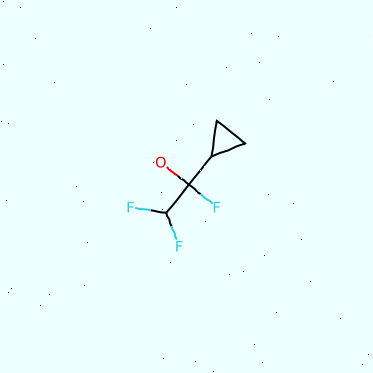 [O]C(F)(C(F)F)C1CC1